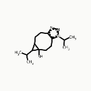 CC(C)C1C2CCc3nnn(C(C)C)c3CCC21S